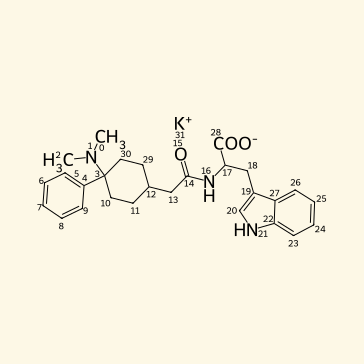 CN(C)C1(c2ccccc2)CCC(CC(=O)NC(Cc2c[nH]c3ccccc23)C(=O)[O-])CC1.[K+]